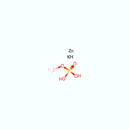 BOP(=O)(O)O.[KH].[Zn]